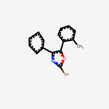 Cc1ccccc1-c1oc(S)nc1-c1ccccc1